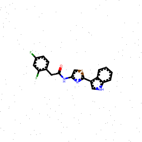 O=C(Cc1ccc(F)cc1F)Nc1csc(-c2c[nH]c3ccccc23)n1